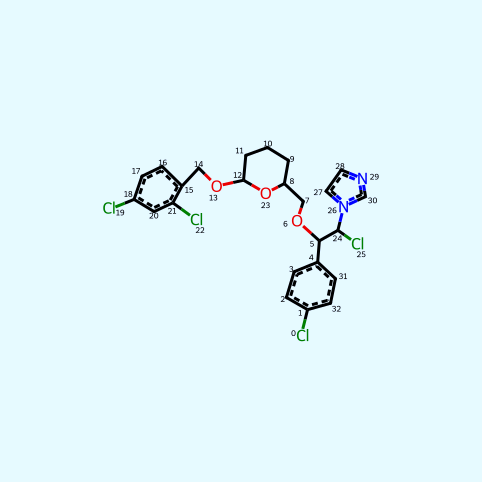 Clc1ccc(C(OCC2CCCC(OCc3ccc(Cl)cc3Cl)O2)C(Cl)n2ccnc2)cc1